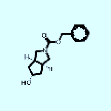 O=C(OCc1ccccc1)N1C[C@H]2C[C@H](O)C[C@H]2C1